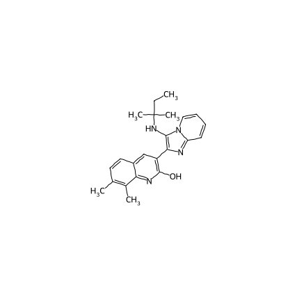 CCC(C)(C)Nc1c(-c2cc3ccc(C)c(C)c3nc2O)nc2ccccn12